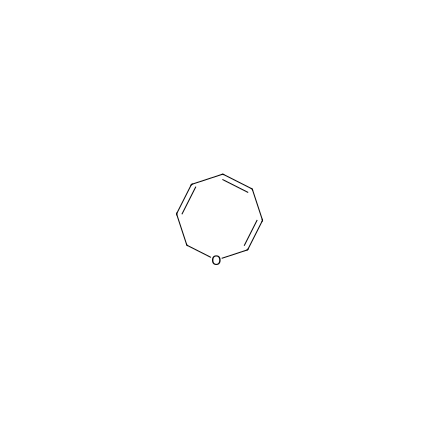 C1=CC=COCC=C1